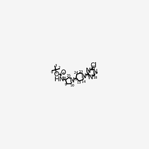 CC(C)(C)OC(=O)NC1CCN(C2CCN(c3ncnc(Cl)n3)CC2)C1